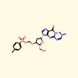 Cc1ccc(S(=O)(=O)SCOC2C[C@H](n3cnc4c(=O)[nH]c(/N=C\N(C)C)nc43)O[C@@H]2CO)cc1